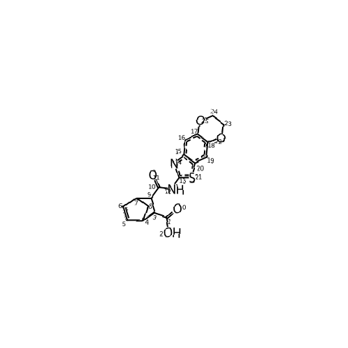 O=C(O)C1C2C=CC(C2)C1C(=O)Nc1nc2cc3c(cc2s1)OCCO3